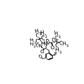 CN1C(=O)C(Cc2cc(C=O)ccc2F)N(OC(=O)OC(C)(C)C)C1C(C)(C)C